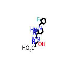 O=C(O)Cc1nnc(-c2n[nH]c3c2C=CCN3Cc2ccccc2F)nc1O